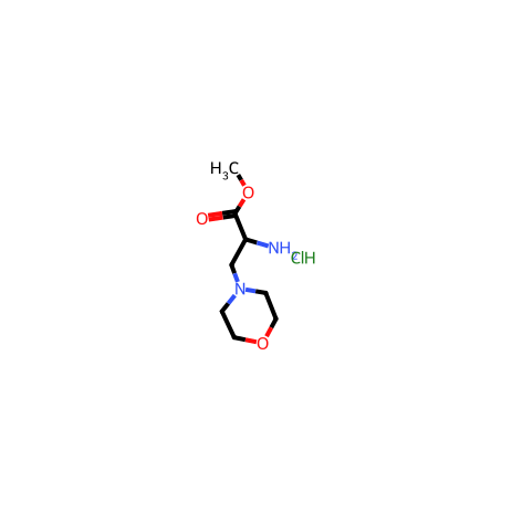 COC(=O)C(N)CN1CCOCC1.Cl